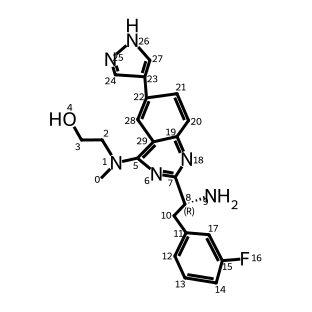 CN(CCO)c1nc([C@H](N)Cc2cccc(F)c2)nc2ccc(-c3cn[nH]c3)cc12